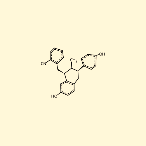 [C-]#[N+]c1ccccc1C[C@@H]1c2cc(O)ccc2C[C@H](c2ccc(O)cc2)[C@@H]1C